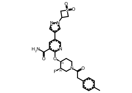 Cc1ccc(CC(=O)N2CC[C@H](Oc3ncc(-c4cnn(C5CS(=O)(=O)C5)c4)cc3C(N)=O)[C@H](F)C2)cc1